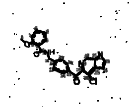 COc1ccccc1C(=O)NCc1ccc(C(=O)C2=NCC3=NC=CC3=C2Cl)cc1